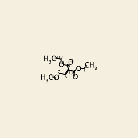 CCOC(=O)C(=CCOC)C(=O)OCC